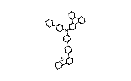 c1ccc(-c2ccc(N(c3ccc(-c4ccc(-c5cccc6c5sc5ccccc56)cc4)cc3)c3ccc4c5ccccc5c5ccccc5c4c3)cc2)cc1